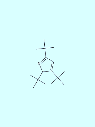 CC(C)(C)C1=CC(C(C)(C)C)=NC1C(C)(C)C